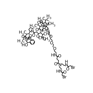 CCC(C)C(C(CC(=O)N1CCCC1C(OC)C(C)C(=O)N[C@@H](C)[C@H](O)c1ccccc1)OC)N(C)C(=O)C(NC(=O)C(C(C)C)N(C)C(=O)COCCOCCOCCOCCNC(=O)CCC(=O)N(CCNC(=O)CBr)CCNC(=O)CBr)C(C)C